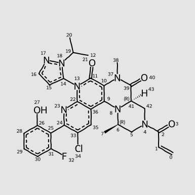 C=CC(=O)N1C[C@@H](C)N2c3c(c(=O)n(-c4ccnn4C(C)C)c4nc(-c5c(O)cccc5F)c(Cl)cc34)N(C)C(=O)[C@H]2C1